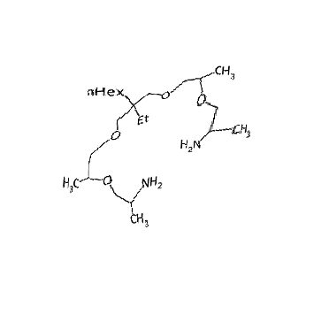 CCCCCCC(CC)(COCC(C)OCC(C)N)COCC(C)OCC(C)N